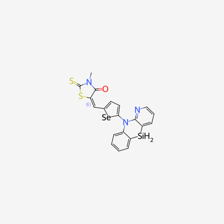 CN1C(=O)/C(=C\c2ccc(N3c4ccccc4[SiH2]c4cccnc43)[se]2)SC1=S